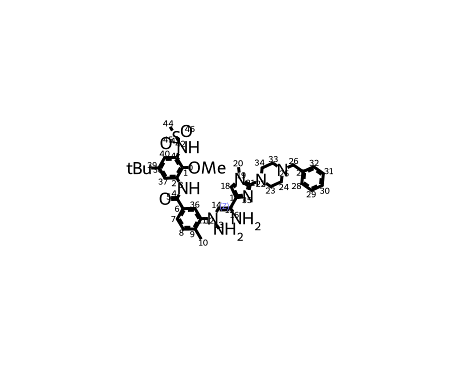 COc1c(NC(=O)c2ccc(C)c(N(N)/C=C(\N)c3cn(C)c(N4CCN(Cc5ccccc5)CC4)n3)c2)cc(C(C)(C)C)cc1NS(C)(=O)=O